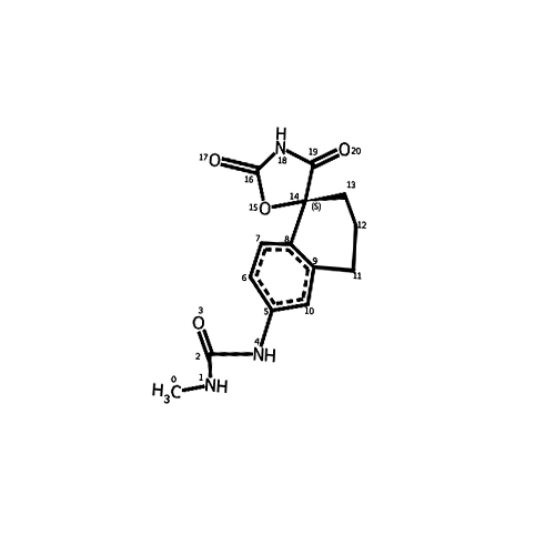 CNC(=O)Nc1ccc2c(c1)CCC[C@]21OC(=O)NC1=O